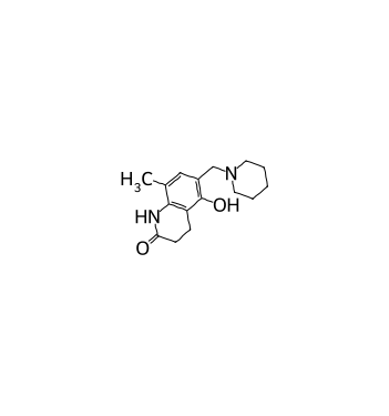 Cc1cc(CN2CCCCC2)c(O)c2c1NC(=O)CC2